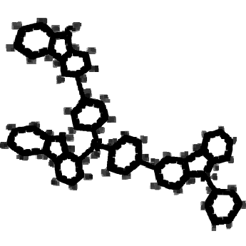 c1ccc(-n2c3ccccc3c3cc(-c4ccc(N(c5ccc(-c6ccc7sc8ccccc8c7c6)cc5)c5cccc6c5sc5ccccc56)cc4)ccc32)cc1